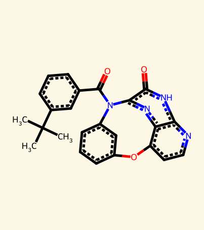 CC(C)(C)c1cccc(C(=O)N2c3cccc(c3)Oc3ccnc4[nH]c(=O)c2nc34)c1